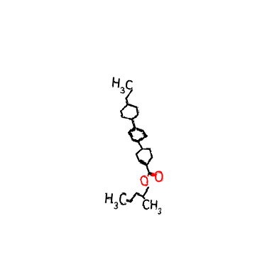 CCCC(C)COC(=O)C1=CCC(c2ccc(C3CCC(CCC)CC3)cc2)CC1